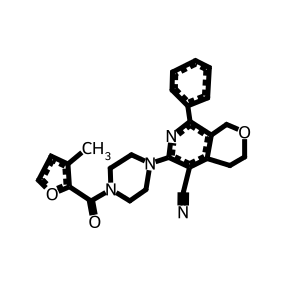 Cc1ccoc1C(=O)N1CCN(c2nc(-c3ccccc3)c3c(c2C#N)CCOC3)CC1